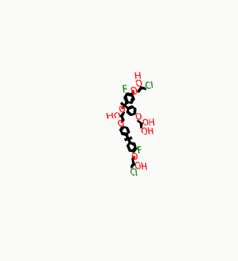 CC(C)(c1ccc(OC[C@@H](O)COC(C)(c2ccc(OC[C@@H](O)CO)cc2)c2ccc(OC[C@@H](O)CCl)c(F)c2)cc1)c1ccc(OC[C@H](O)CCl)c(F)c1